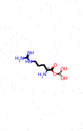 N=C(N)NCCC[C@H](N)C(=O)OB(O)O